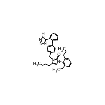 CCCCc1cn(-c2c(CC)cccc2CCC)c(=O)n1Cc1ccc(-c2ccccc2-c2nnn[nH]2)cc1